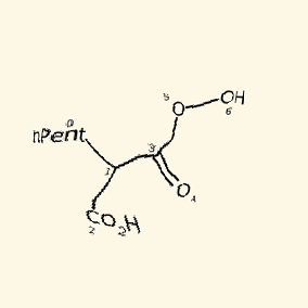 CCCCCC(C(=O)O)C(=O)OO